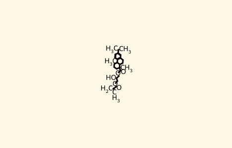 C=C(C)C(=O)OCC(O)COC(=O)C1(C)CCCC2(C)c3ccc(C(C)C)cc3CCC12